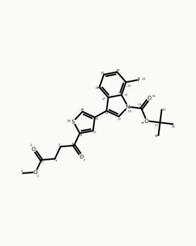 COC(=O)CCC(=O)c1cc(-c2cn(C(=O)OC(C)(C)C)c3c(F)cccc23)cs1